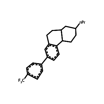 CCCC1CCC2c3ccc(-c4ccc(C(F)(F)F)cc4)cc3CCC2C1